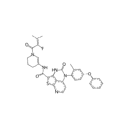 CC(C)=C(F)C(=O)N1C=C(NC(=O)c2sc3nccc4c3c2NC(=O)N4c2ccc(Oc3ccccc3)cc2C)CCC1